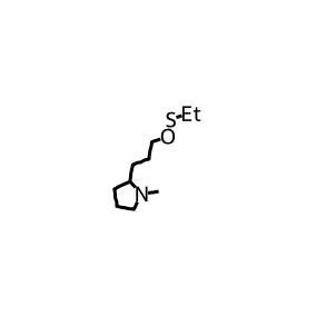 CCSOCCCC1CCCN1C